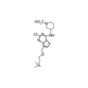 C[Si](C)(C)CCOCn1ccc2c(NC3CCCN(C(=O)O)C3)nc(Cl)nc21